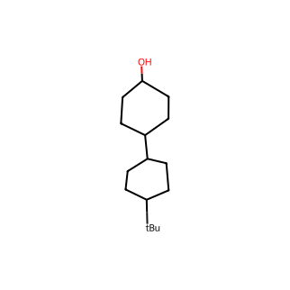 CC(C)(C)C1CCC(C2CCC(O)CC2)CC1